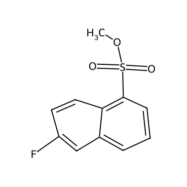 COS(=O)(=O)c1cccc2cc(F)ccc12